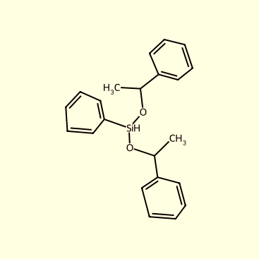 CC(O[SiH](OC(C)c1ccccc1)c1ccccc1)c1ccccc1